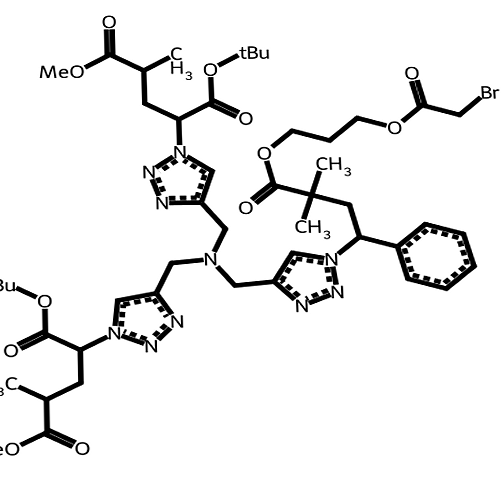 COC(=O)C(C)CC(C(=O)OC(C)(C)C)n1cc(CN(Cc2cn(C(CC(C)C(=O)OC)C(=O)OC(C)(C)C)nn2)Cc2cn(C(CC(C)(C)C(=O)OCCCOC(=O)CBr)c3ccccc3)nn2)nn1